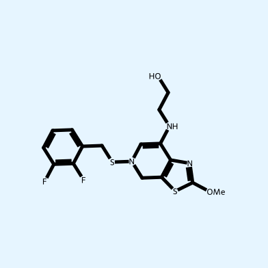 COc1nc2c(s1)CN(SCc1cccc(F)c1F)C=C2NCCO